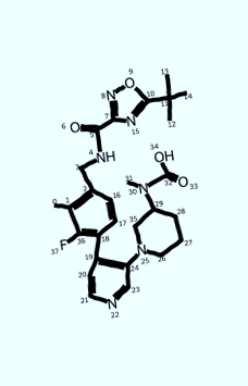 Cc1c(CNC(=O)c2noc(C(C)(C)C)n2)ccc(-c2ccncc2N2CCCC(N(C)C(=O)O)C2)c1F